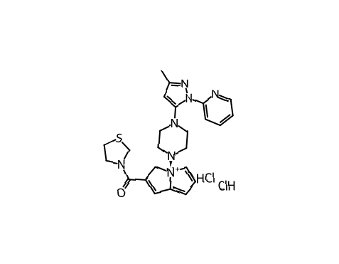 Cc1cc(N2CCN([N@@+]34C=CC=C3C=C(C(=O)N3CCSC3)C4)CC2)n(-c2ccccn2)n1.Cl.Cl